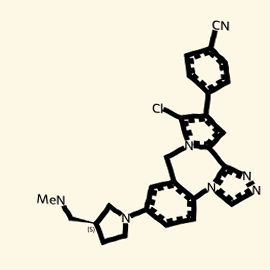 CNC[C@@H]1CCN(c2ccc3c(c2)Cn2c(cc(-c4ccc(C#N)cc4)c2Cl)-c2nncn2-3)C1